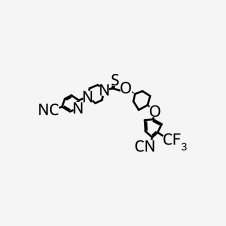 N#Cc1ccc(N2CCN(C(=S)CO[C@H]3CC[C@H](Oc4ccc(C#N)c(C(F)(F)F)c4)CC3)CC2)nc1